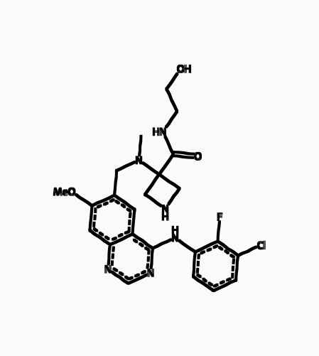 COc1cc2ncnc(Nc3cccc(Cl)c3F)c2cc1CN(C)C1(C(=O)NCCO)CNC1